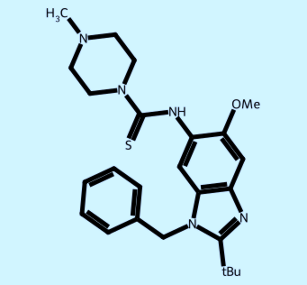 COc1cc2nc(C(C)(C)C)n(Cc3ccccc3)c2cc1NC(=S)N1CCN(C)CC1